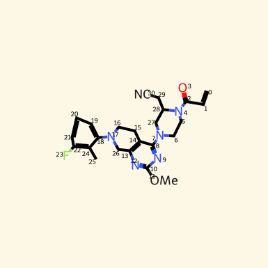 C=CC(=O)N1CCN(c2nc(OC)nc3c2CCN(c2cccc(F)c2C)C3)CC1CC#N